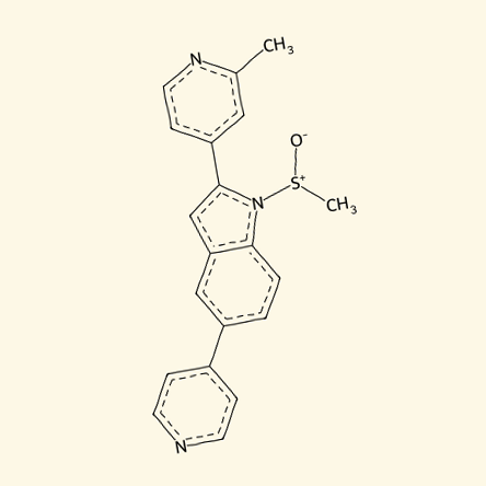 Cc1cc(-c2cc3cc(-c4ccncc4)ccc3n2[S+](C)[O-])ccn1